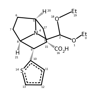 CCOC(CN1[C@H]2CC[C@@H]1[C@@H](c1cccs1)[C@@H](C(=O)O)C2)OCC